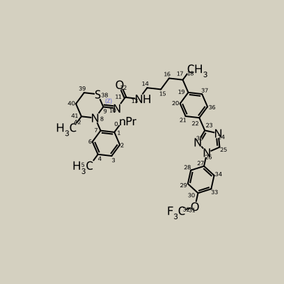 CCCc1ccc(C)cc1N1/C(=N/C(=O)NCCCC(C)c2ccc(-c3ncn(-c4ccc(OC(F)(F)F)cc4)n3)cc2)SCCC1C